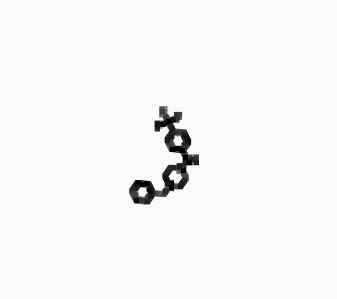 FC(F)(F)c1ccc(NN2CCN(Cc3ccccc3)CC2)cc1